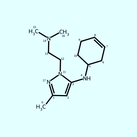 Cc1cc(NC2CC=CCC2)n(CCN(C)C)n1